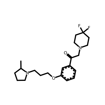 CC1CCCN1CCCOc1cccc(C(=O)CN2CCC(F)(F)CC2)c1